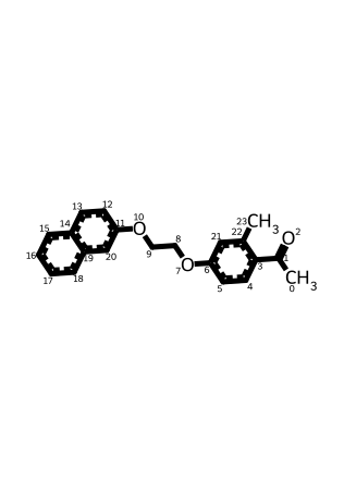 CC(=O)c1ccc(OCCOc2ccc3ccccc3c2)cc1C